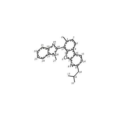 Cc1ccc2c(oc3nc(CC(C)C)ccc32)c1-c1nc2ccccc2n1C